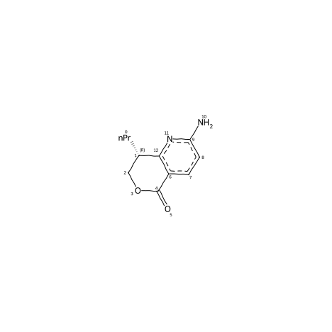 CCC[C@H]1COC(=O)c2ccc(N)nc21